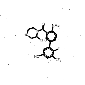 CNc1ccc(-c2cc(O)cc(C(F)(F)F)c2F)cc1C(=O)N1CCNCC1C=O